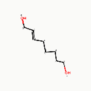 OC/C=C/CCCCCO